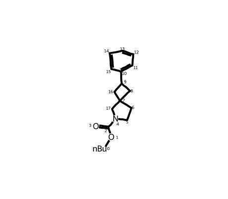 CCCCOC(=O)N1CCC2(CC(c3ccccc3)C2)C1